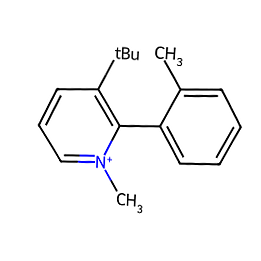 Cc1ccccc1-c1c(C(C)(C)C)ccc[n+]1C